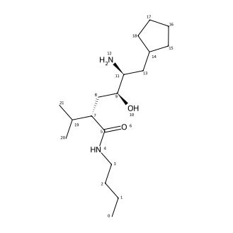 CCCCNC(=O)[C@@H](C[C@H](O)[C@@H](N)CC1CCCC1)C(C)C